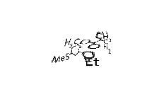 C=C(C)C(=O)OC1(C)CC(OCC)CC(SC)C1